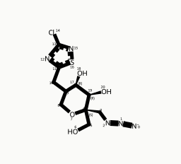 [N-]=[N+]=NC[C@@]1(CO)OCC(Cc2nc(Cl)ns2)[C@@H](O)[C@H]1O